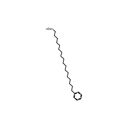 CCCCCCCCCCCCCCCCCCCCCCCCCCCCc1ccccc1